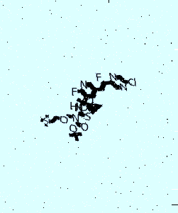 CC(C)(C)OC(=O)N(COCC[Si](C)(C)C)C1=NC(C)(c2cc(/C=C(\F)c3cnc(Cl)cn3)cnc2F)C2CC2(C(=O)O)S1